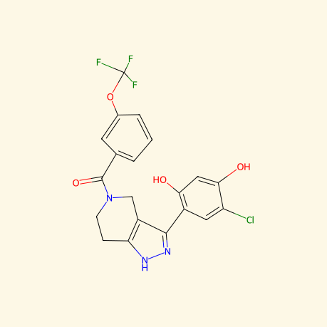 O=C(c1cccc(OC(F)(F)F)c1)N1CCc2[nH]nc(-c3cc(Cl)c(O)cc3O)c2C1